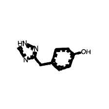 Oc1ccc(Cc2nc[nH]n2)cc1